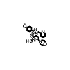 COc1ccc(S(=O)(=O)N(Cc2ccccn2)C(CCN2CCOCC2)C(=O)NO)cc1